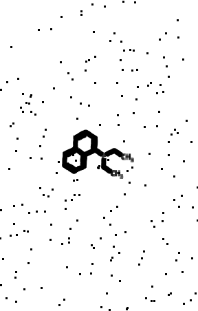 CCP(CC)c1cccc2ccccc12